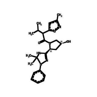 Cc1cc(C(C(=O)N2C[C@H](O)C[C@H]2C2=NN(c3ccccc3)C(C)(C)N2)C(C)C)on1